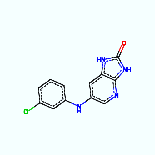 O=c1[nH]c2cc(Nc3cccc(Cl)c3)cnc2[nH]1